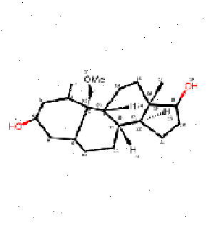 COC[C@]12C(C)CC(O)CC1CC[C@@H]1[C@H]2CC[C@]2(C)C(O)CC[C@@H]12